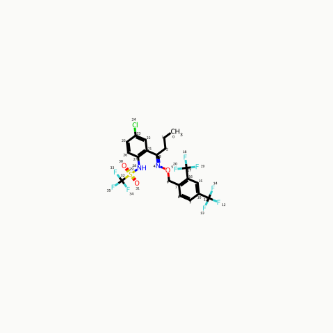 CCC/C(=N\OCc1ccc(C(F)(F)F)cc1C(F)(F)F)c1cc(Cl)ccc1NS(=O)(=O)C(F)(F)F